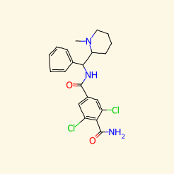 CN1CCCCC1C(NC(=O)c1cc(Cl)c(C(N)=O)c(Cl)c1)c1ccccc1